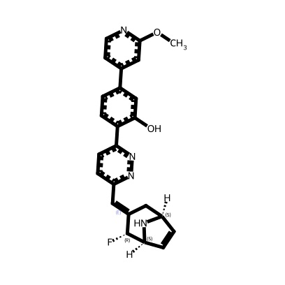 COc1cc(-c2ccc(-c3ccc(/C=C4\C[C@H]5C=C[C@H](N5)[C@@H]4F)nn3)c(O)c2)ccn1